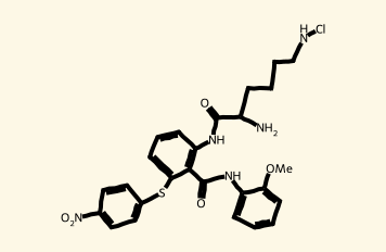 COc1ccccc1NC(=O)c1c(NC(=O)C(N)CCCCNCl)cccc1Sc1ccc([N+](=O)[O-])cc1